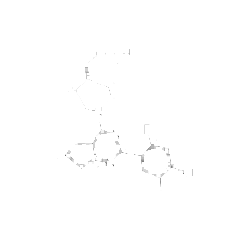 O=C(O)C=C1CCN(c2nc(-c3cc(F)c(Cl)cc3F)nc3ccsc23)CC1